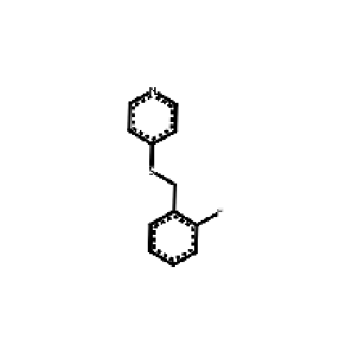 Fc1ccccc1CSc1ccncc1